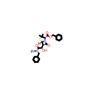 CC(C)N(Cc1ccccc1)C(=O)[C@@H](O)[C@@H]1C(=O)N2[C@@H]1SC(C)(C)[C@@H]2C(=O)OCc1ccccc1